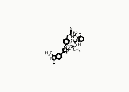 Cc1n[nH]c2ccc(-c3cn(-c4ccc(C[C@@H](C#N)NC(=O)[C@@H]5[C@H]6CC[C@H](C6)N5C(=O)OC(C)(C)C)cc4)nn3)cc12